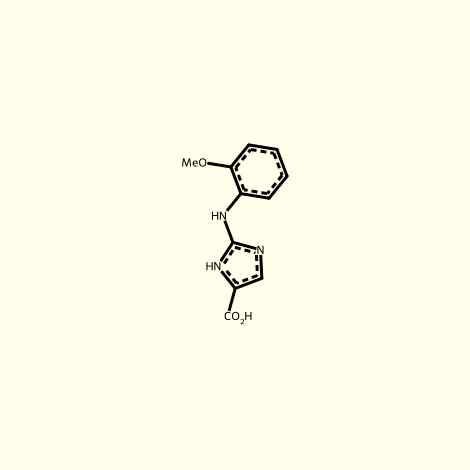 COc1ccccc1Nc1ncc(C(=O)O)[nH]1